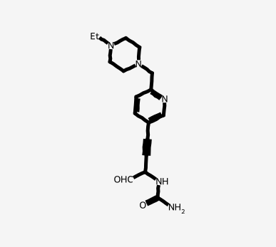 CCN1CCN(Cc2ccc(C#CC(C=O)NC(N)=O)cn2)CC1